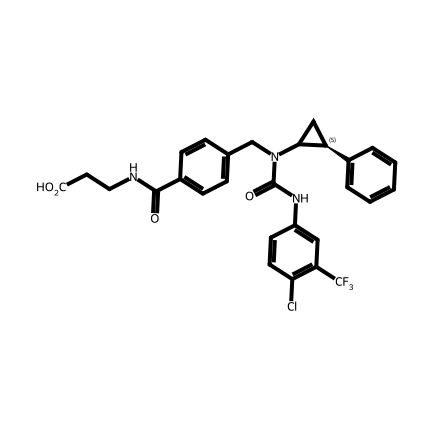 O=C(O)CCNC(=O)c1ccc(CN(C(=O)Nc2ccc(Cl)c(C(F)(F)F)c2)C2C[C@H]2c2ccccc2)cc1